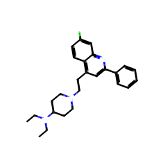 CCN(CC)C1CCN(CCc2cc(-c3ccccc3)nc3cc(Cl)ccc23)CC1